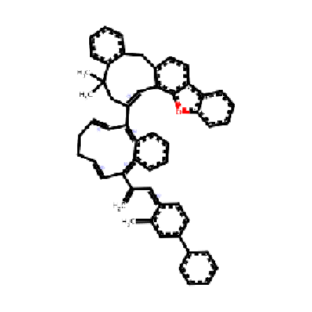 C=C(/C=c1/ccc(-c2ccccc2)cc1=C)C1=c2/cccc/c2=C(\C2=C/c3c(ccc4c3oc3ccccc34)Cc3ccccc3C(C)(C)C2)/C=C/CC/C=C/1